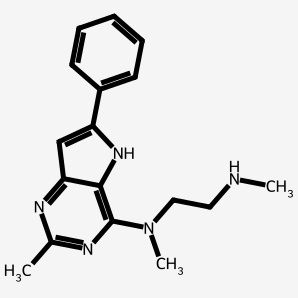 CNCCN(C)c1nc(C)nc2cc(-c3ccccc3)[nH]c12